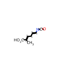 CC(=CCC=CN=C=O)C(=O)O